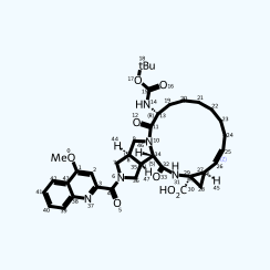 COc1cc(C(=O)N2C[C@H]3CN4C(=O)[C@H](NC(=O)OC(C)(C)C)CCCCCC/C=C\[C@H]5C[C@@]5(C(=O)O)NC(=O)[C@@H]4[C@H]3C2)nc2ccccc12